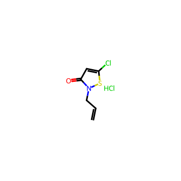 C=CCn1sc(Cl)cc1=O.Cl